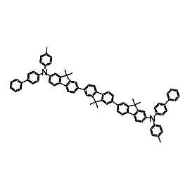 Cc1ccc(N(c2ccc(-c3ccccc3)cc2)c2ccc3c(c2)C(C)(C)c2cc(-c4ccc5c(c4)C(C)(C)c4cc(-c6ccc7c(c6)C(C)(C)c6cc(N(c8ccc(C)cc8)c8ccc(-c9ccccc9)cc8)ccc6-7)ccc4-5)ccc2-3)cc1